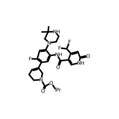 CC(C)OC(=O)N1CCC=C(c2cc(NC(=O)c3c[nH]c(=O)cc3C(F)F)c(N3CCNC(C)(C)C3)cc2F)C1